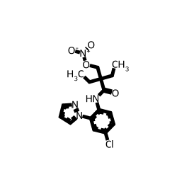 CCC(CC)(CO[N+](=O)[O-])C(=O)Nc1ccc(Cl)cc1-n1cccn1